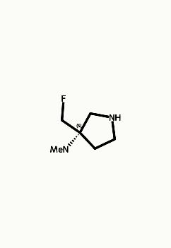 CN[C@@]1(CF)CCNC1